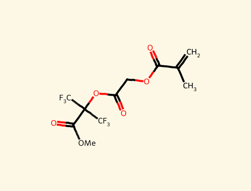 C=C(C)C(=O)OCC(=O)OC(C(=O)OC)(C(F)(F)F)C(F)(F)F